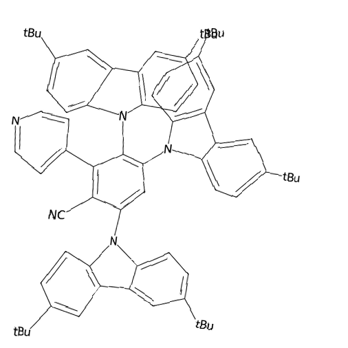 CC(C)(C)c1ccc2c(c1)c1cc(C(C)(C)C)ccc1n2-c1cc(-n2c3ccc(C(C)(C)C)cc3c3cc(C(C)(C)C)ccc32)c(-n2c3ccc(C(C)(C)C)cc3c3cc(C(C)(C)C)ccc32)c(-c2ccncc2)c1C#N